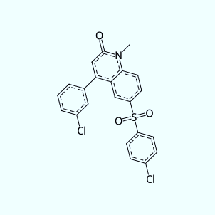 Cn1c(=O)cc(-c2cccc(Cl)c2)c2cc(S(=O)(=O)c3ccc(Cl)cc3)ccc21